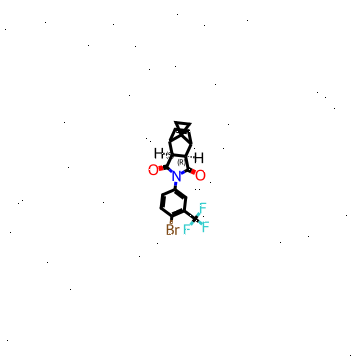 O=C1[C@@H]2C3C=CC([C@@H]2C(=O)N1c1ccc(Br)c(C(F)(F)F)c1)C31CC1